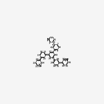 C/C=C(\C=N/C)c1cccc(-c2cc(-c3cccc(-c4cccnc4)c3)cc(-c3cccc(-c4cccnc4)c3)c2)c1